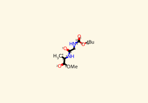 COC(=O)C(C)NC(=O)CNC(=O)OC(C)(C)C